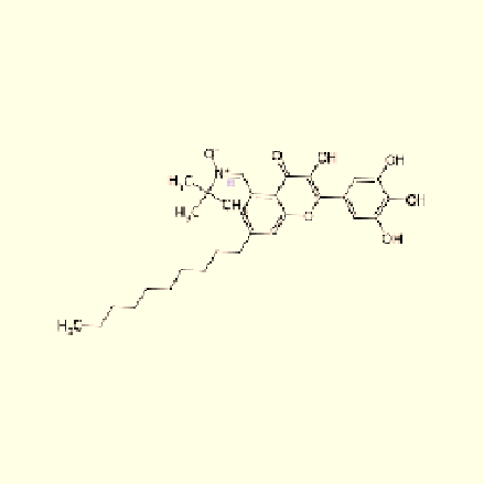 CCCCCCCCCCc1cc(/C=[N+](/[O-])C(C)(C)C)c2c(=O)c(O)c(-c3cc(O)c(O)c(O)c3)oc2c1